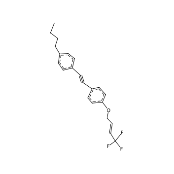 CCCCc1ccc(C#Cc2ccc(OC/C=C/C(F)(F)F)cc2)cc1